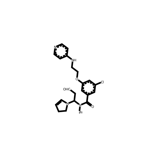 CC(C)N(C(=O)c1cc(Cl)cc(OCCNc2ccncc2)c1)C(CC=O)N1C=CCC1